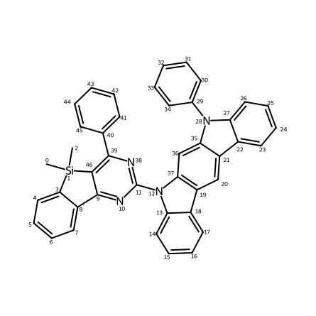 C[Si]1(C)c2ccccc2-c2nc(-n3c4ccccc4c4cc5c6ccccc6n(-c6ccccc6)c5cc43)nc(-c3ccccc3)c21